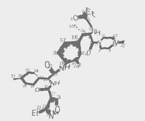 CCC(=O)N[C@@H](C(=O)N1CCN(C)CC1)[C@@H](C)c1ccc(NC(=O)[C@@H](NC(=O)c2conc2CC)[C@H]2CC[C@H](C)CC2)c(F)c1